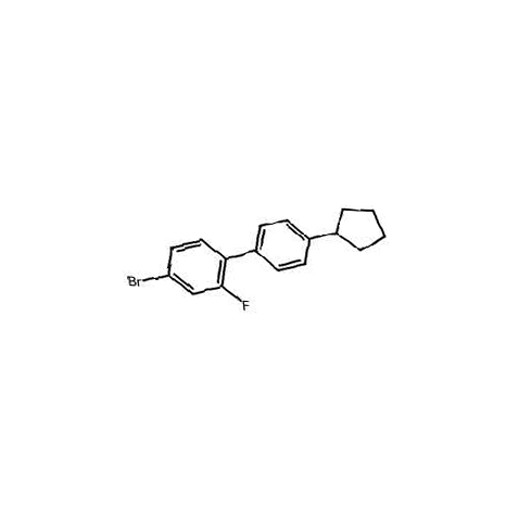 Fc1cc(Br)ccc1-c1ccc(C2CCCC2)cc1